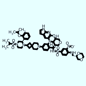 CC(C)Oc1ccccc1[C@@H]1CN(S(=O)(=O)C(C)C)CCN1C1CC2(CCN(c3ccc(C(=O)NS(=O)(=O)c4ccc(NC[C@H]5COCCO5)c([N+](=O)[O-])c4)c(N4c5cc6cc[nH]c6nc5O[C@H]5COCC[C@@H]54)c3)CC2)C1